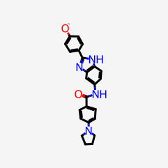 COc1ccc(-c2nc3cc(NC(=O)c4ccc(N5CCCC5)cc4)ccc3[nH]2)cc1